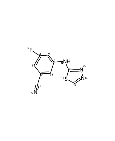 N#Cc1cc(F)cc(Nc2nncs2)c1